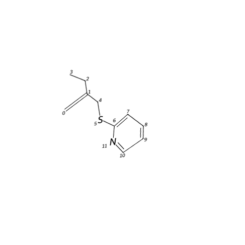 C=C(CC)CSc1ccccn1